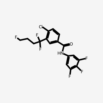 O=C(Nc1cc(F)c(F)c(F)c1)c1ccc(Cl)c(C(F)(F)CCCF)c1